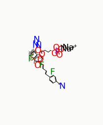 C[C@@H](S[C@H]1CO[C@H](C=CC=Cc2ccc(C#N)cc2F)OC1)[C@@](Cn1cncn1)(OC(=O)CCCOP(=O)([O-])[O-])c1ccc(F)cc1F.[Na+].[Na+]